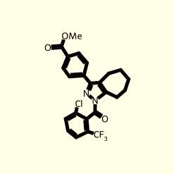 COC(=O)c1ccc(-c2nn(C(=O)c3c(Cl)cccc3C(F)(F)F)c3c2CCCCC3)cc1